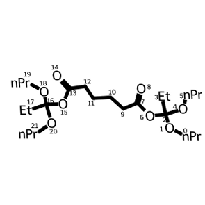 CCCOC(CC)(OCCC)OC(=O)CCCCC(=O)OC(CC)(OCCC)OCCC